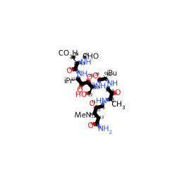 CC[C@H](C)C(NCC(=O)[C@H](C)NCC(=O)[C@H](CC(N)=O)NC)C(=O)N[C@@H](CO)C(=O)C(=O)[C@@H](NC(=O)[C@H](CC(=O)O)NC=O)C(C)C